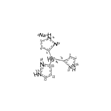 [Na+].c1cc([BH-](c2cc[nH]n2)c2cc[nH]n2)n[nH]1